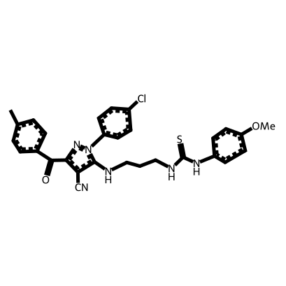 COc1ccc(NC(=S)NCCCNc2c(C#N)c(C(=O)c3ccc(C)cc3)nn2-c2ccc(Cl)cc2)cc1